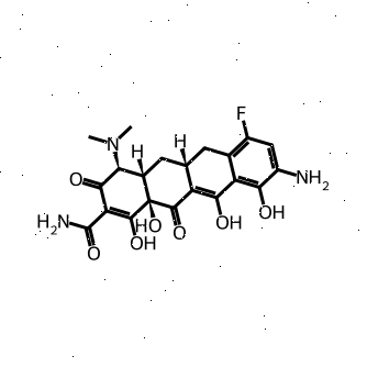 CN(C)[C@@H]1C(=O)C(C(N)=O)=C(O)[C@@]2(O)C(=O)C3=C(O)c4c(O)c(N)cc(F)c4C[C@H]3C[C@@H]12